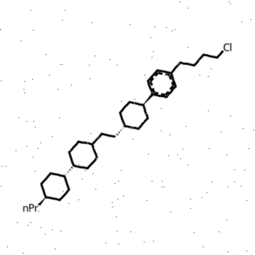 CCC[C@H]1CC[C@H](C2CCC(CC[C@H]3CC[C@H](c4ccc(CCCCCl)cc4)CC3)CC2)CC1